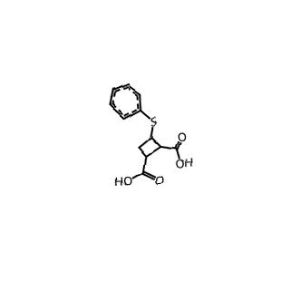 O=C(O)C1CC(Sc2ccccc2)C1C(=O)O